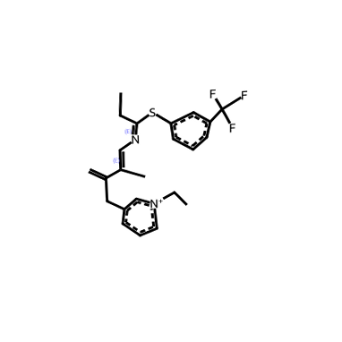 C=C(Cc1ccc[n+](CC)c1)/C(C)=C/N=C(\CC)Sc1cccc(C(F)(F)F)c1